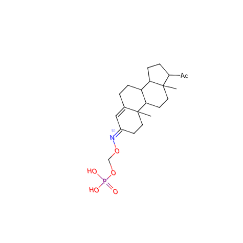 CC(=O)C1CCC2C3CCC4=C/C(=N/OCOP(=O)(O)O)CCC4(C)C3CCC12C